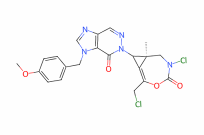 COc1ccc(Cn2cnc3cnn(C4C5=C(CCl)OC(=O)N(Cl)C[C@@]54C)c(=O)c32)cc1